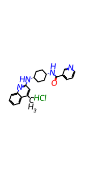 Cc1cc(N[C@H]2CC[C@@H](NC(=O)c3cccnc3)CC2)nc2ccccc12.Cl